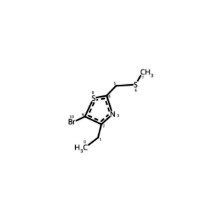 CCc1nc(CSC)sc1Br